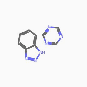 c1ccc2[nH]nnc2c1.c1ncncn1